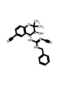 CC1(C)Oc2ccc(C#N)cc2[C@@H](NC(=NC#N)NCc2ccccc2)[C@@H]1O